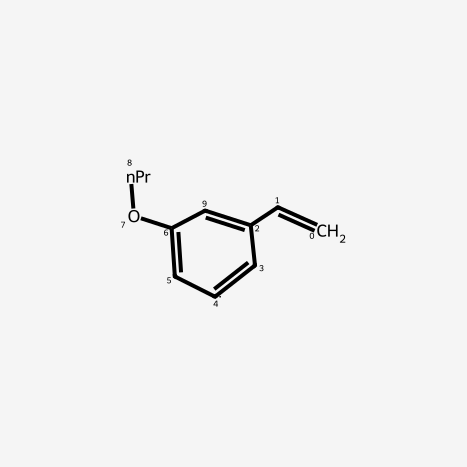 C=Cc1c[c]cc(OCCC)c1